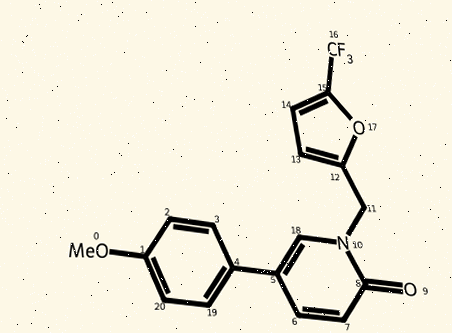 COc1ccc(-c2ccc(=O)n(Cc3ccc(C(F)(F)F)o3)c2)cc1